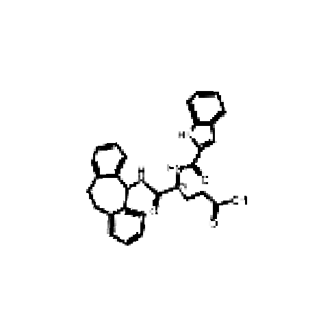 O=C(O)CC[C@H](NC(=O)c1cc2ccccc2[nH]1)C(=O)NC1c2ccccc2CCc2ccccc21